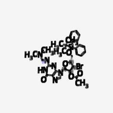 CC(=O)O[C@@H]1[C@@H](Br)[C@@H](CO[Si](c2ccccc2)(c2ccccc2)C(C)(C)C)O[C@H]1n1cnc2c(=O)[nH]c(/N=C/N(C)C)nc21